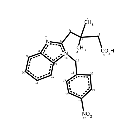 CC(C)(CC(=O)O)Cc1nc2ccccc2n1Cc1ccc([N+](=O)[O-])cc1